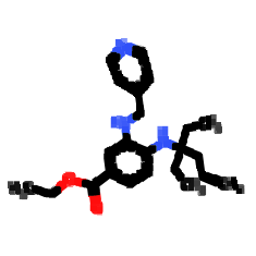 C=CCC(CC)(CC)Nc1ccc(C(=O)OCC)cc1NCc1ccncc1